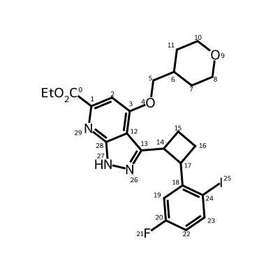 CCOC(=O)c1cc(OCC2CCOCC2)c2c(C3CCC3c3cc(F)ccc3I)n[nH]c2n1